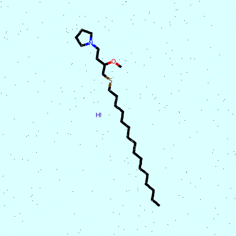 CCCCCCCCCCCCCCCCSCC(CCN1CCCC1)OC.I